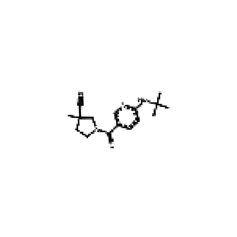 CC1(C#N)CCN(C(=O)c2ccc(NC(C)(C)C)nc2)C1